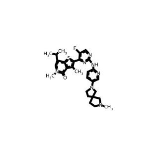 Cc1c(-c2nc(Nc3ccc(N4CCC5(CCN(C)C5)C4)cn3)ncc2F)sc2c(C(C)C)cn(C)c(=O)c12